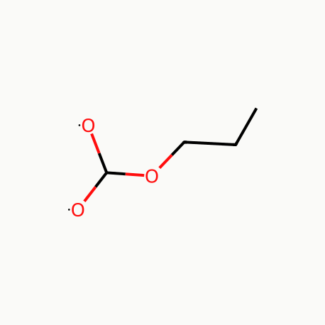 CCCOC([O])[O]